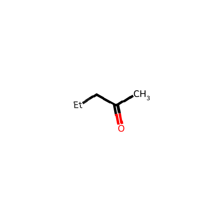 [CH2]CCC(C)=O